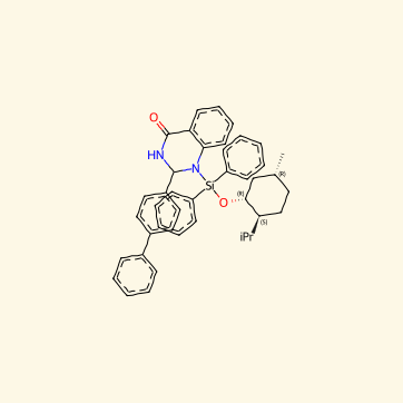 CC(C)[C@@H]1CC[C@@H](C)C[C@H]1O[Si](c1ccccc1)(c1ccccc1)N1c2ccccc2C(=O)NC1c1ccc(-c2ccccc2)cc1